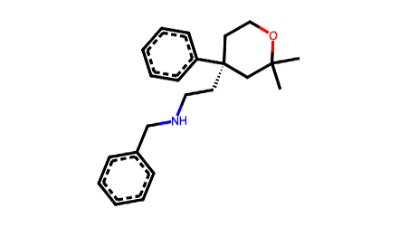 CC1(C)C[C@@](CCNCc2ccccc2)(c2ccccc2)CCO1